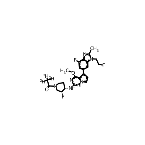 [2H]C([2H])([2H])C(=O)N1CC[C@H](Nc2nc(OC)c3c(-c4cc(F)c5nc(C)n(CCF)c5c4)ccn3n2)[C@H](F)C1